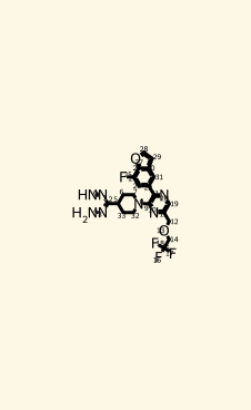 N=N/C(=N\N)C1CCN(c2nc(COCC(F)(F)F)cnc2-c2cc(F)c3occc3c2)CC1